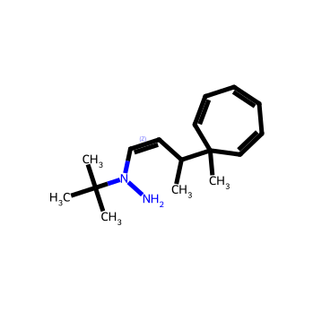 CC(/C=C\N(N)C(C)(C)C)C1(C)C=CC=CC=C1